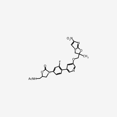 CC(=O)NCC1CN(c2ccc(-c3cncc(OCC4(C)Cn5cc([N+](=O)[O-])nc5O4)c3)c(F)c2)C(=O)O1